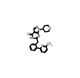 O=c1[nH]c(Cc2ccccc2-c2cccc(C(F)(F)F)n2)nc2c1cnn2C1CCOCC1